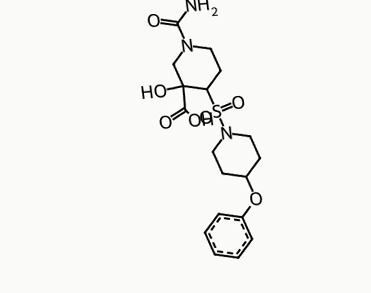 NC(=O)N1CCC(S(=O)(=O)N2CCC(Oc3ccccc3)CC2)C(O)(C(=O)O)C1